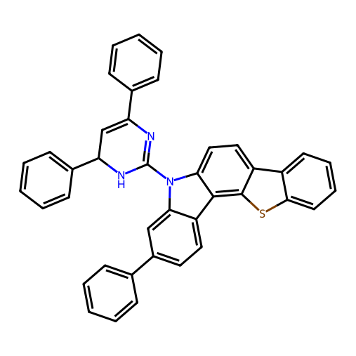 C1=C(c2ccccc2)N=C(n2c3cc(-c4ccccc4)ccc3c3c4sc5ccccc5c4ccc32)NC1c1ccccc1